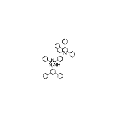 c1ccc(C2=NC(c3cc(-c4ccccc4)cc(-c4ccccc4)c3)NC(c3cccc(-c4cc5ccccc5c5c(-c6ccccc6)cc(-c6ccccc6)nc45)c3)=N2)cc1